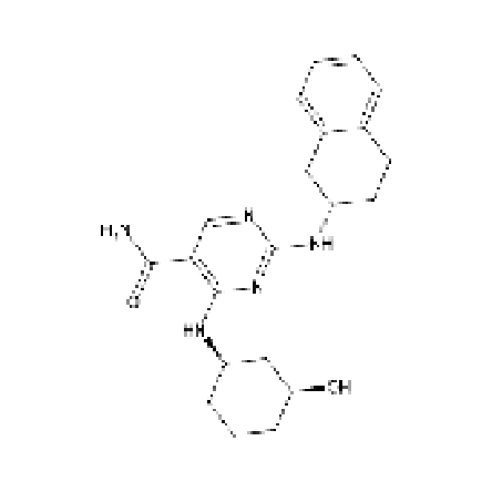 NC(=O)c1cnc(N[C@H]2CCc3ccccc3C2)nc1N[C@@H]1CCC[C@H](O)C1